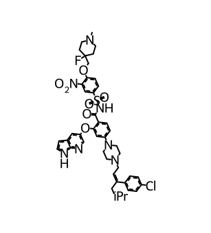 CC(C)C/C(=C/CN1CCN(c2ccc(C(=O)NS(=O)(=O)c3ccc(OCC4(F)CCN(C)CC4)c([N+](=O)[O-])c3)c(Oc3cnc4[nH]ccc4c3)c2)CC1)c1ccc(Cl)cc1